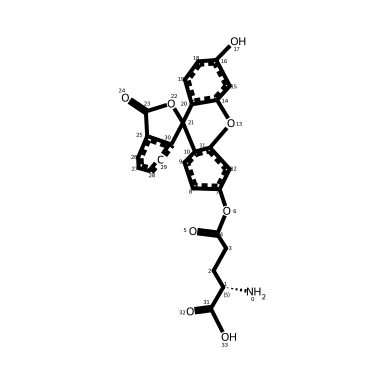 N[C@@H](CCC(=O)Oc1ccc2c(c1)Oc1cc(O)ccc1C21OC(=O)c2ccccc21)C(=O)O